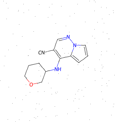 [C-]#[N+]c1cnn2cccc2c1NC1CCCOC1